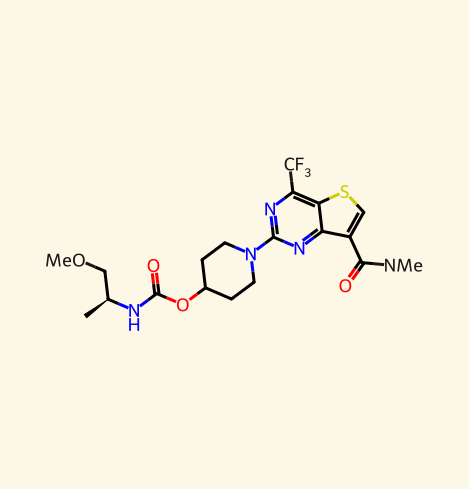 CNC(=O)c1csc2c(C(F)(F)F)nc(N3CCC(OC(=O)N[C@@H](C)COC)CC3)nc12